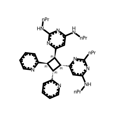 CCCNc1cc([C@@H]2[C@H](c3ccccn3)[C@@H](c3ccccn3)[C@H]2c2cc(NCCC)nc(NCCC)n2)nc(CCC)n1